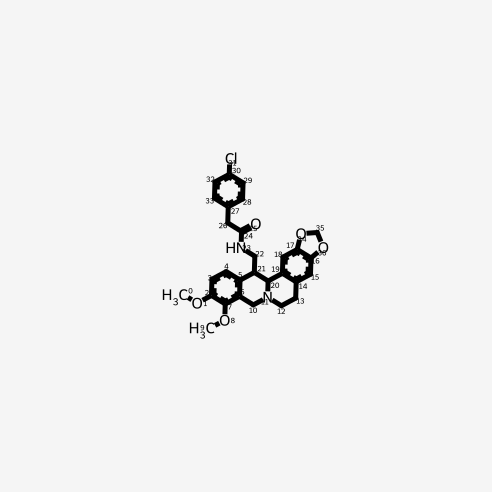 COc1ccc2c(c1OC)CN1CCc3cc4c(cc3C1C2CNC(=O)Cc1ccc(Cl)cc1)OCO4